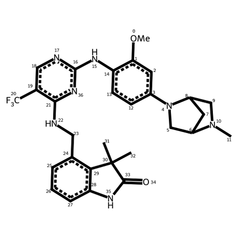 COc1cc(N2CC3CC2CN3C)ccc1Nc1ncc(C(F)(F)F)c(NCc2cccc3c2C(C)(C)C(=O)N3)n1